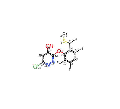 CCSC(C)c1c(C)cc(C)c(C)c1Oc1nnc(Cl)cc1O